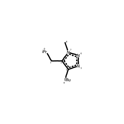 CC(C)Cc1c(C(C)(C)C)nnn1C